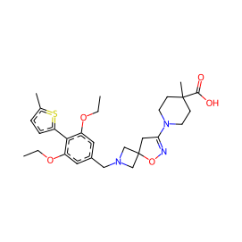 CCOc1cc(CN2CC3(CC(N4CCC(C)(C(=O)O)CC4)=NO3)C2)cc(OCC)c1-c1ccc(C)s1